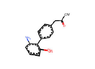 N#CC(=O)Cc1ccc(-c2c(N)cccc2O)cc1